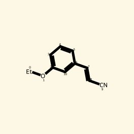 CCOc1cccc(/C=C/C#N)c1